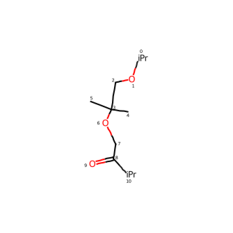 CC(C)OCC(C)(C)OCC(=O)C(C)C